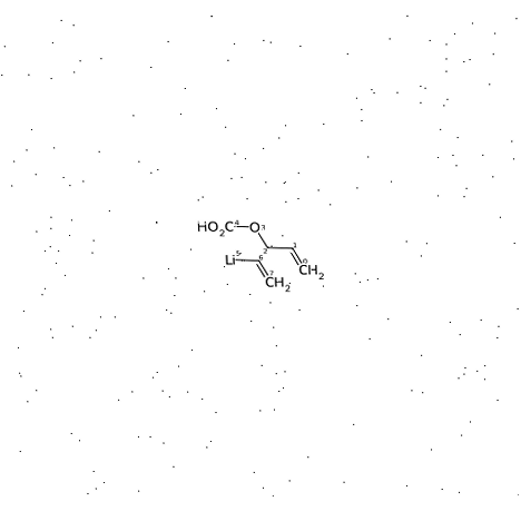 C=CCOC(=O)O.[Li][CH]=C